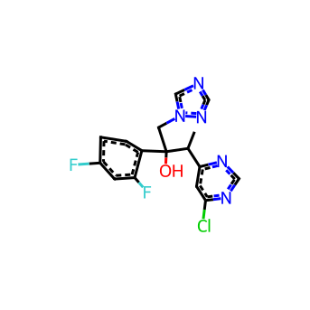 CC(c1cc(Cl)ncn1)C(O)(Cn1cncn1)c1ccc(F)cc1F